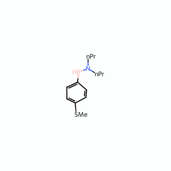 CCCN(Bc1ccc(SC)cc1)CCC